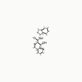 O=C(N[C@@H]1CCc2ccccc21)c1ncc2cccnc2c1O